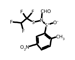 Cc1ccc([N+](=O)[O-])cc1[S+]([O-])N(C=O)SC(F)(F)C(F)F